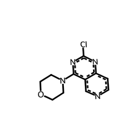 Clc1nc(N2CCOCC2)c2cnccc2n1